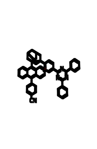 N#Cc1ccc(-c2c3ccccc3c(C34CC5CC(CC(c6ccc(-c7nc(-c8ccccc8)nc(-c8ccccc8)n7)cn6)(C5)C3)C4)c3ccccc23)cc1